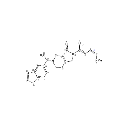 CN/C=C\C=C(/C)N1CC2=C(CN(C(C)c3ccc4scnc4c3)CC2)C1=O